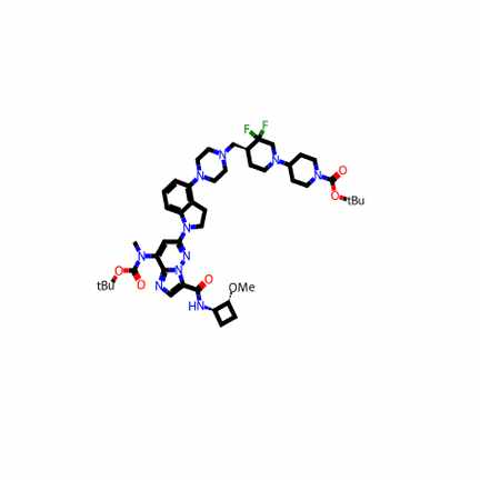 CO[C@@H]1CC[C@H]1NC(=O)c1cnc2c(N(C)C(=O)OC(C)(C)C)cc(N3CCc4c(N5CCN(C[C@@H]6CCN(C7CCN(C(=O)OC(C)(C)C)CC7)CC6(F)F)CC5)cccc43)nn12